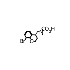 CN(C[C@H]1CCOc2c(Br)cccc21)C(=O)O